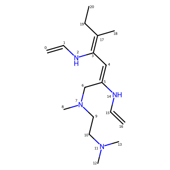 C=CNC(/C=C(\CN(C)CCN(C)C)NC=C)=C(/C)CC